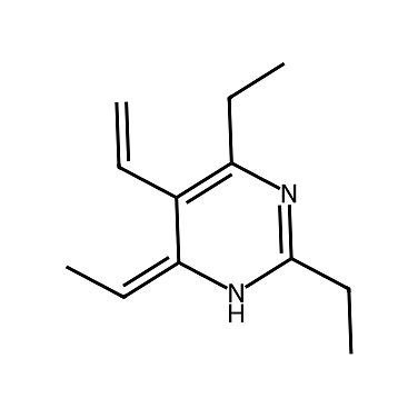 C=CC1=C(CC)N=C(CC)N/C1=C/C